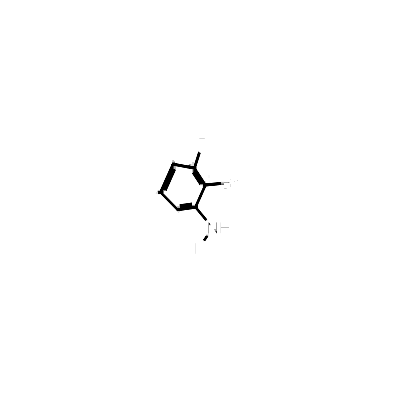 FNc1cccc(F)c1Br